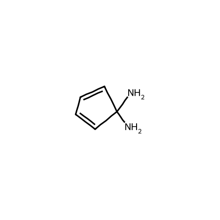 NC1(N)C=CC=C1